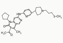 CSCCCN1CCC(c2ccc(Nc3cc4c(cn3)c(C)c(C(C)=O)c(=O)n4C3CCCC3)nc2)CC1